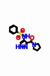 O=C(c1n[nH]cc1NS(=O)(=O)c1ccccc1)N1CCCC1